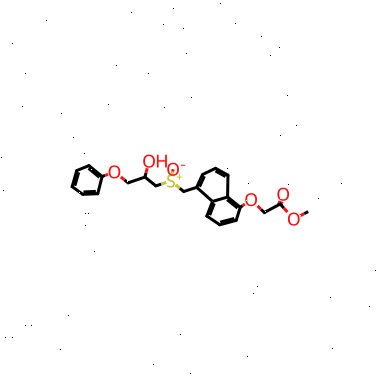 COC(=O)COc1cccc2c(C[S+]([O-])CC(O)COc3ccccc3)cccc12